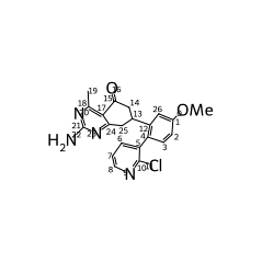 COc1ccc(-c2cccnc2Cl)c(C2CC(=O)c3c(C)nc(N)nc3C2)c1